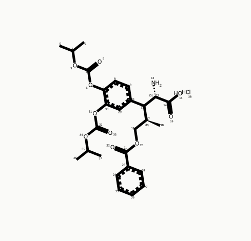 CC(C)OC(=O)Oc1ccc(C([C@H](N)C(=O)O)[C@@H](C)COC(=O)c2ccccc2)cc1OC(=O)OC(C)C.Cl